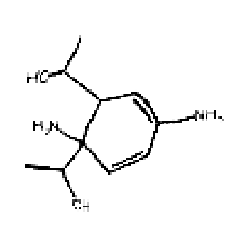 CC(O)C1C=C(N)C=CC1(N)C(C)O